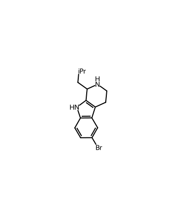 CC(C)CC1NCCc2c1[nH]c1ccc(Br)cc21